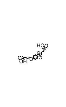 CC(C)(CCCOc1ccc(S(=O)(=O)CCCC(C)(C)C(=O)O)cc1)C(=O)O